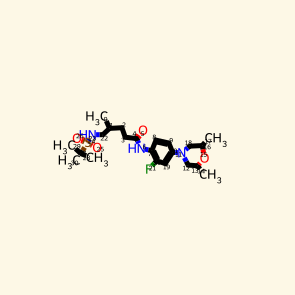 CC(CCC(=O)Nc1ccc(N2CC(C)OC(C)C2)cc1F)CNS(=O)(=O)C(C)(C)C